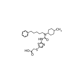 CC1CCC(N(CCCCCc2ccccc2)C(=O)Nc2ncc(SCC(=O)O)s2)CC1